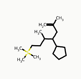 C=C(C)CC(C(C)CCS(C)(C)C)C1CCCC1